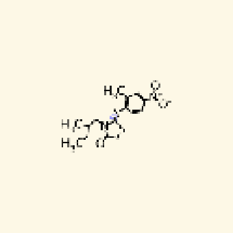 CCC(C)CN1C(=O)CS/C1=N\c1ccc([N+](=O)[O-])cc1C